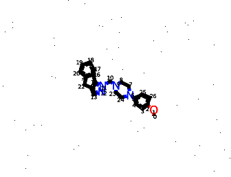 COc1ccc(N2CCN(Cn3ncc4c3-c3ccccc3C4)CC2)cc1